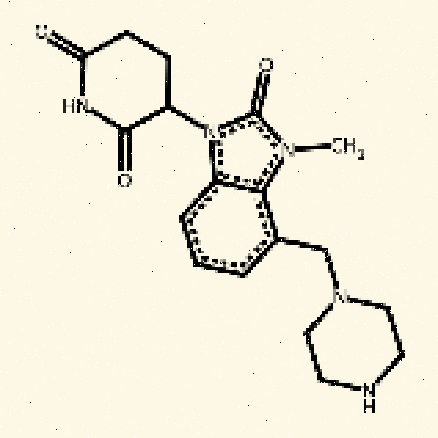 Cn1c(=O)n(C2CCC(=O)NC2=O)c2cccc(CN3CCNCC3)c21